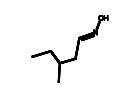 CCC(C)C/C=N/O